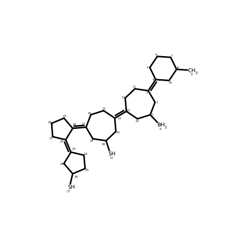 BC1C/C(=C2/CCCC(C)C2)CC/C(=C2\CC/C(=C3\CCC\C3=C3\CCC(S)C3)CC(S)C2)C1